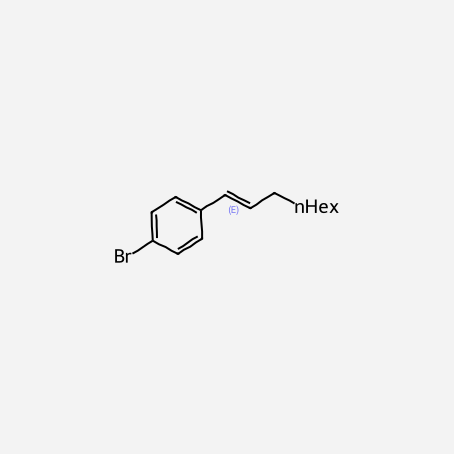 CCCCCCC/C=C/c1ccc(Br)cc1